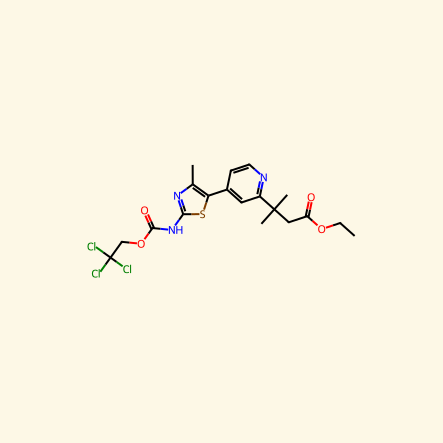 CCOC(=O)CC(C)(C)c1cc(-c2sc(NC(=O)OCC(Cl)(Cl)Cl)nc2C)ccn1